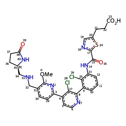 COc1nc(-c2ccnc(-c3cccc(NC(=O)c4ncc(CCC(=O)O)s4)c3Cl)c2Cl)ccc1CNC[C@H]1CCC(=O)N1